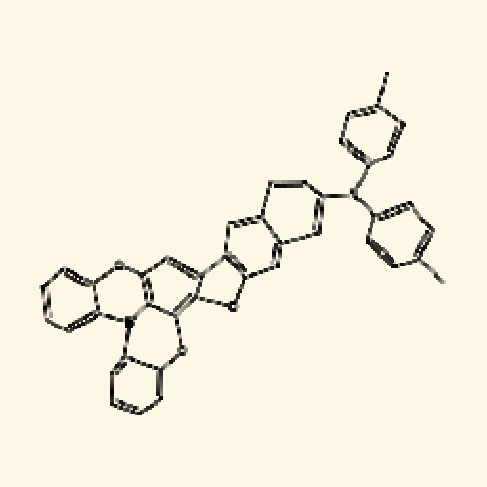 Cc1ccc(N(c2ccc(C)cc2)c2ccc3cc4c(cc3c2)oc2c3c5c(cc24)Oc2ccccc2B5c2ccccc2O3)cc1